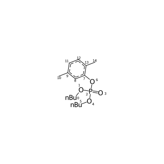 CCCCOP(=O)(OCCCC)Oc1cc(C)ccc1C